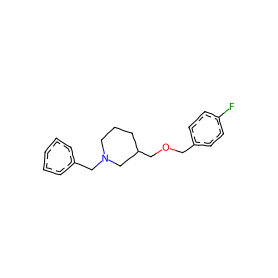 Fc1ccc(COCC2CCCN(Cc3ccccc3)C2)cc1